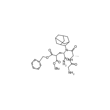 C[C@H](NC(=O)CN)C(=O)N(C1C2CC3CC(C2)CC1C3)[C@H](CC(C(=O)OCc1ccccc1)C(=O)OC(C)(C)C)C(N)=O